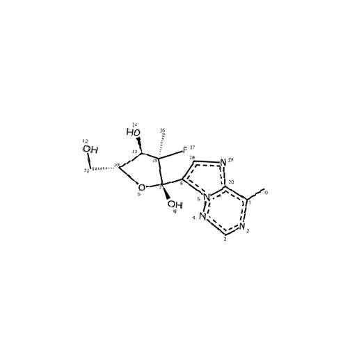 Cc1ncnn2c([C@]3(O)O[C@H](CO)[C@@H](O)[C@@]3(C)F)cnc12